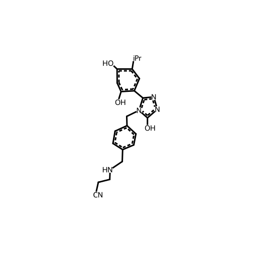 CC(C)c1cc(-c2nnc(O)n2Cc2ccc(CNCCC#N)cc2)c(O)cc1O